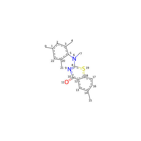 Cc1cc(C)c(N(C)c2nc(=O)c3cc(C)ccc3s2)c(C)c1